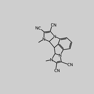 CN1C(C#N)=C(C#N)N2c3cccc4c3C(C12)C1N(C)C(C#N)=C(C#N)N41